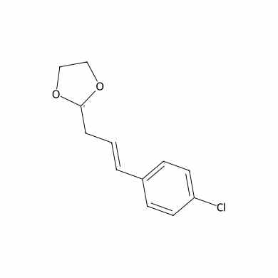 Clc1ccc(C=CC[C]2OCCO2)cc1